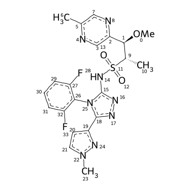 CO[C@H](c1cnc(C)cn1)[C@H](C)S(=O)(=O)Nc1nnc(-c2ccn(C)n2)n1-c1c(F)cccc1F